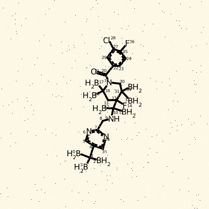 BC(B)(B)c1cnc(CNC(B)(B)C2(F)CC(B)(B)N(C(=O)c3ccc(F)c(Cl)c3)CC2(B)B)nc1